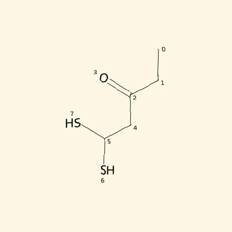 CCC(=O)CC(S)S